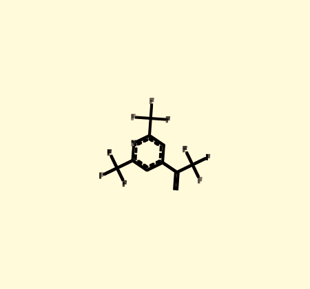 C=C(c1cc(C(F)(F)F)nc(C(F)(F)F)c1)C(F)(F)F